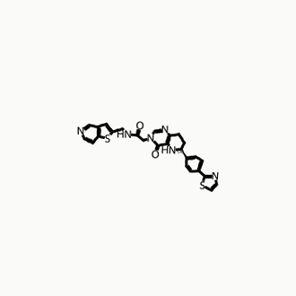 O=C(Cn1cnc2c(c1=O)N[C@H](c1ccc(-c3nccs3)cc1)CC2)NCc1cc2cnccc2s1